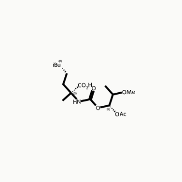 CC[C@@H](C)CC[C@](C)(NC(=O)O[C@@H](OC(C)=O)C(C)OC)C(=O)O